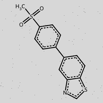 CS(=O)(=O)c1ccc(-c2ccc3scnc3c2)cc1